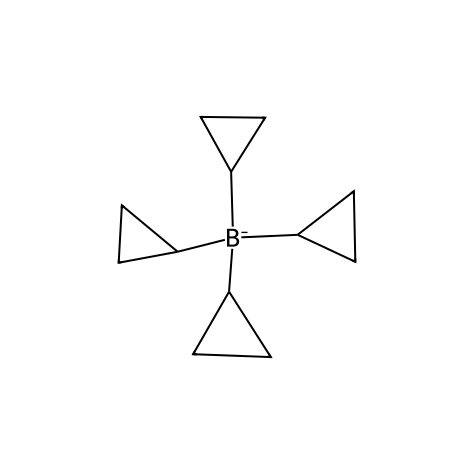 C1CC1[B-](C1CC1)(C1CC1)C1CC1